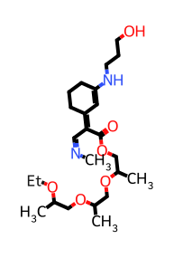 CCOC(C)COC(C)COC(C)COC(=O)C(/C=N\C)=C1\C=C(NCCCO)CCC1